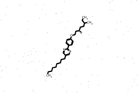 CCCCCCCCCc1cnc(-c2ccc(OCCC(F)CCC(C)CC)cc2)nc1